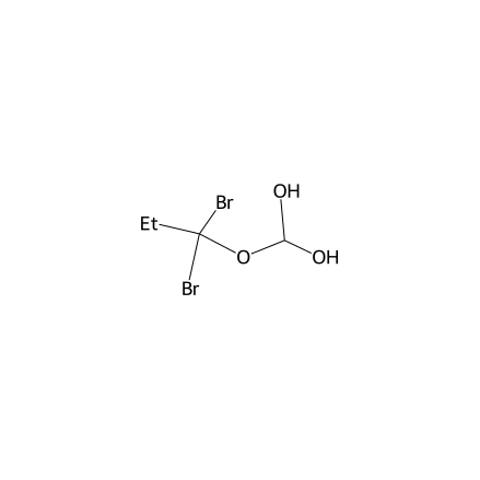 CCC(Br)(Br)OC(O)O